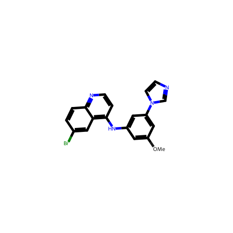 COc1cc(Nc2ccnc3ccc(Br)cc23)cc(-n2ccnc2)c1